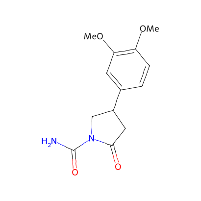 COc1ccc(C2CC(=O)N(C(N)=O)C2)cc1OC